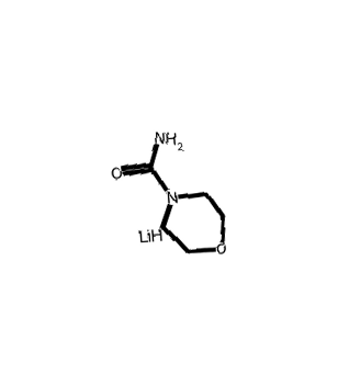 NC(=O)N1CCOCC1.[LiH]